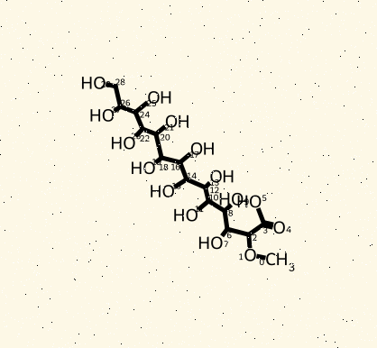 COC(C(=O)O)C(O)C(O)C(O)C(O)C(O)C(O)C(O)C(O)C(O)C(O)C(O)CO